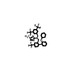 Cn1nnc(N(Cc2cc(C(F)(F)F)cc(C(F)(F)F)c2)Cc2cc(C(F)(F)F)ccc2-c2ccccc2Oc2ccccc2)n1